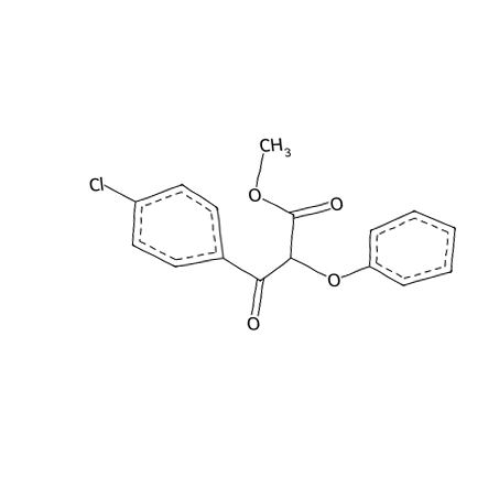 COC(=O)C(Oc1ccccc1)C(=O)c1ccc(Cl)cc1